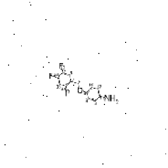 Nc1ccc(OCc2cc(F)c(F)cc2F)cc1